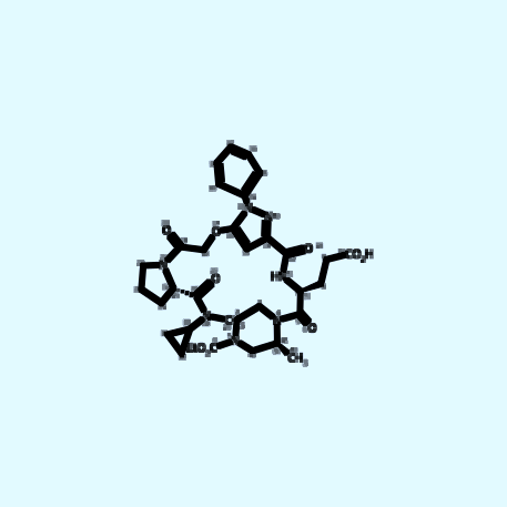 CCOC(=O)N1CCN(C(=O)[C@H](CCC(=O)O)NC(=O)c2cc(OCC(=O)N3CCC[C@H]3C(=O)N(C)C3CC3)n(-c3ccccc3)n2)[C@@H](C)C1